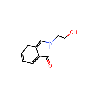 O=[C]C1=CC=CCC1=CNCCO